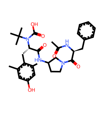 CC(=O)N[C@@H](Cc1ccccc1)C(=O)N1CCC(NC(=O)[C@H](Cc2c(C)cc(O)cc2C)N(C(=O)O)C(C)(C)C)C1